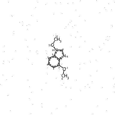 COc1cccc2c1ncn2OC